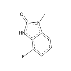 Cn1c(=O)[nH]c2c(F)cccc21